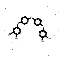 Nc1cc(Oc2ccc(Oc3ccc(Oc4ccc(O)c(N)c4)cc3)cc2)ccc1O